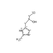 Cc1ncc(CC(O)CCl)[nH]1